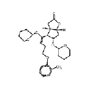 Cc1ccccc1OCC/C=C(/OC1CCCCO1)[C@H]1[C@@H]2CC(=O)O[C@@H]2C[C@H]1OC1CCCCO1